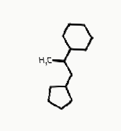 C[C](CC1CCCC1)C1CCCCC1